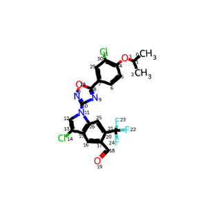 CC(C)Oc1ccc(-c2nc(-n3cc(Cl)c4cc(C=O)c(C(F)(F)F)cc43)no2)cc1Cl